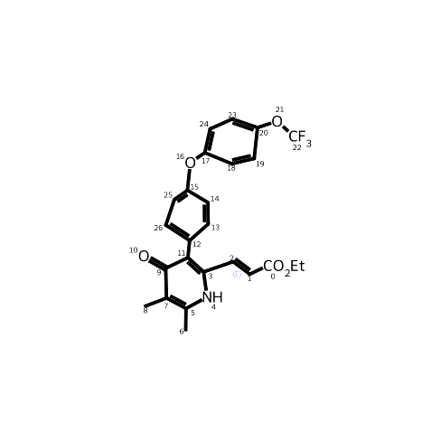 CCOC(=O)/C=C/c1[nH]c(C)c(C)c(=O)c1-c1ccc(Oc2ccc(OC(F)(F)F)cc2)cc1